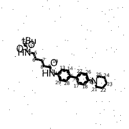 CC(C)(C)S(=O)(=O)NCCCCC(=O)Nc1ccc(-c2ccc(N3CCCCC3)cc2)cc1